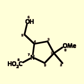 COC1(C)CC(CO)N(C(=O)O)C1